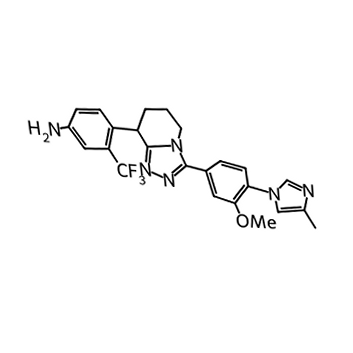 COc1cc(-c2nnc3n2CCCC3c2ccc(N)cc2C(F)(F)F)ccc1-n1cnc(C)c1